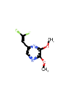 COc1ncc(C=C(F)F)nc1OC